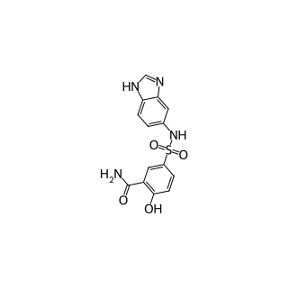 NC(=O)c1cc(S(=O)(=O)Nc2ccc3[nH]cnc3c2)ccc1O